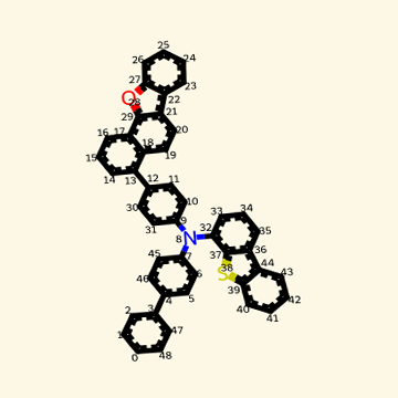 c1ccc(-c2ccc(N(c3ccc(-c4cccc5c4ccc4c6ccccc6oc54)cc3)c3cccc4c3sc3ccccc34)cc2)cc1